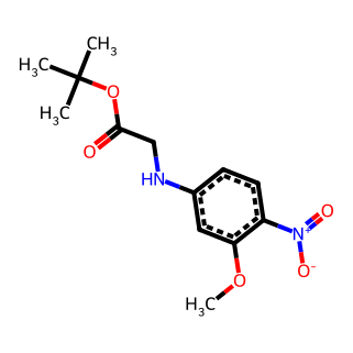 COc1cc(NCC(=O)OC(C)(C)C)ccc1[N+](=O)[O-]